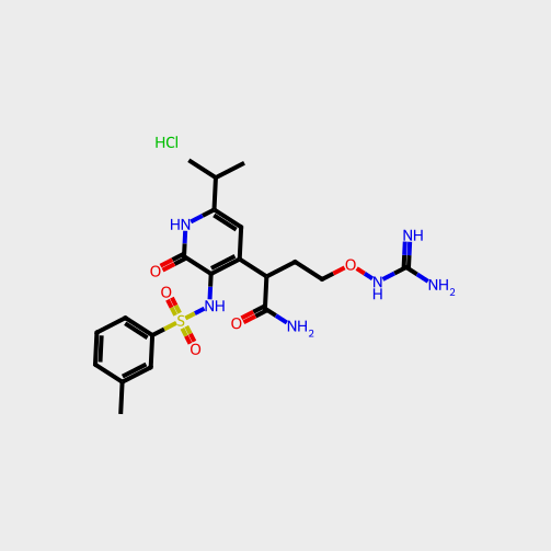 Cc1cccc(S(=O)(=O)Nc2c(C(CCONC(=N)N)C(N)=O)cc(C(C)C)[nH]c2=O)c1.Cl